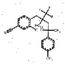 Cc1ccc(C(C)(C)CC(O)(Cc2ccc(C#N)cc2Cl)C(F)(F)F)cc1